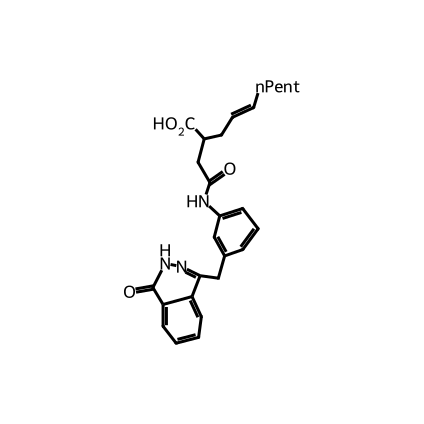 CCCCC/C=C/CC(CC(=O)Nc1cccc(Cc2n[nH]c(=O)c3ccccc23)c1)C(=O)O